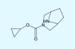 O=C(OC1CC1)N1CC2CCC(C1)N2